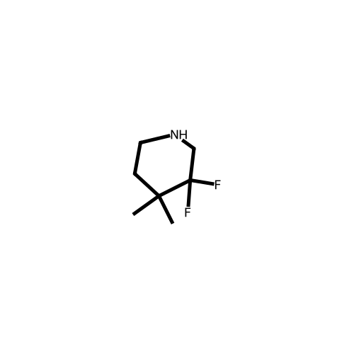 CC1(C)CCNCC1(F)F